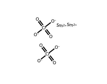 [O]=[Cr](=[O])([O-])[O-].[O]=[Cr](=[O])([O-])[O-].[Sm+2].[Sm+2]